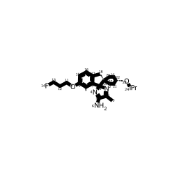 CC1=NC2(N=C1N)c1cc(OCCCF)ccc1C[C@]21CC[C@@H](OC(C)C)CC1